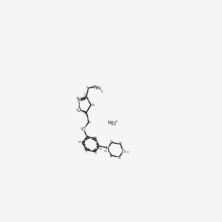 Cl.NCC1=NOC(COc2cccc(N3CCOCC3)c2)C1